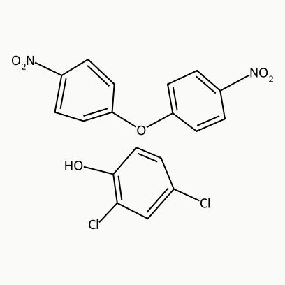 O=[N+]([O-])c1ccc(Oc2ccc([N+](=O)[O-])cc2)cc1.Oc1ccc(Cl)cc1Cl